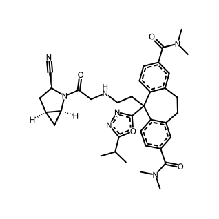 CC(C)c1nnc(C2(CCNCC(=O)N3[C@H](C#N)C[C@@H]4C[C@@H]43)c3ccc(C(=O)N(C)C)cc3CCc3cc(C(=O)N(C)C)ccc32)o1